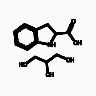 O=C(O)C1Cc2ccccc2N1.OCC(O)CO